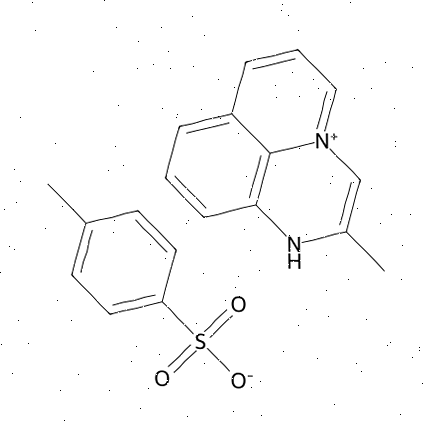 CC1=C[n+]2cccc3cccc(c32)N1.Cc1ccc(S(=O)(=O)[O-])cc1